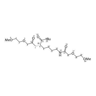 COCCOCC(=O)C[C@@H](CCCCNC(=O)COCCOC)C(=O)C(C)(C)C